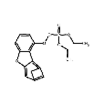 CCOP(=O)(OCC)OOc1cccc2oc3cc4cc(c3c12)C4